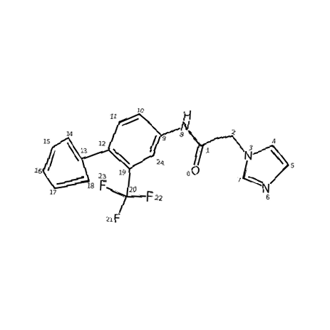 O=C(Cn1ccnc1)Nc1ccc(-c2ccccc2)c(C(F)(F)F)c1